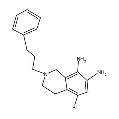 Nc1cc(Br)c2c(c1N)CN(CCCc1ccccc1)CC2